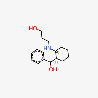 OCCCN[C@H]1CCCC[C@H]1C(O)c1ccccc1